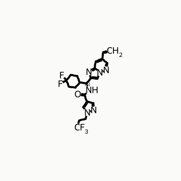 C=Cc1cnn2cc([C@@H](NC(=O)c3cnn(CCC(F)(F)F)c3)C3CCC(F)(F)CC3)nc2c1